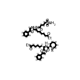 CCC(=O)CCCCCC(NC(=O)CCCS(N)(=O)=O)c1ncc(-c2ccccc2)o1.CCC(=O)CCCCC[C@H](NC(=O)[C@@H]1CCCCCN1C)c1ncc(-c2ccccc2)o1